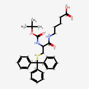 CC(C)(C)OC(=O)NC(CSC(c1ccccc1)(c1ccccc1)c1ccccc1)C(=O)NCCCCC(=O)O